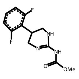 COC(=O)NC1=NCC(c2c(F)cccc2F)CN1